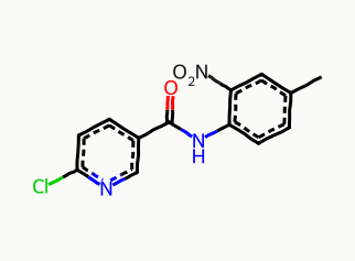 Cc1ccc(NC(=O)c2ccc(Cl)nc2)c([N+](=O)[O-])c1